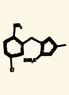 CCOC(=O)c1cc(C)cn1Cc1cc(Cl)ccc1[N+](=O)[O-]